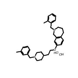 Cc1cccc(CN2CCC(CCOc3ccc4c(c3)CN(Cc3ccccc3C)CCC4)CC2)c1.Cl.Cl